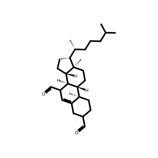 CC(C)CCC[C@@H](C)[C@H]1CC[C@H]2[C@@H]3C(C=O)C=C4CC(C=O)CC[C@]4(C)[C@H]3CC[C@]12C